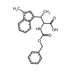 CC(c1cn(C)c2ccccc12)C(NC(=O)OCc1ccccc1)C(=O)O